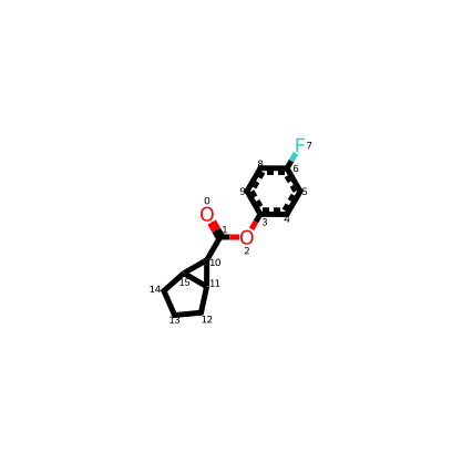 O=C(Oc1ccc(F)cc1)C1C2CCCC21